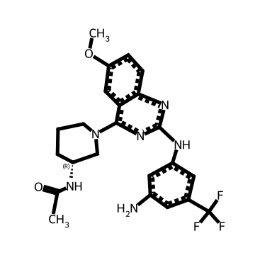 COc1ccc2nc(Nc3cc(N)cc(C(F)(F)F)c3)nc(N3CCC[C@@H](NC(C)=O)C3)c2c1